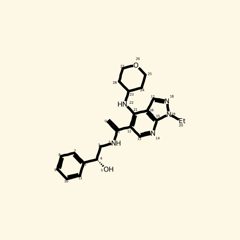 C=C(NC[C@H](O)c1ccccc1)c1cnc2c(cnn2CC)c1NC1CCOCC1